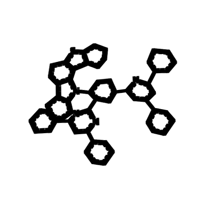 c1ccc(-c2cc(-c3ccccc3)nc(-c3ccc(-n4c5ccccc5c5ccc6sc7ccccc7c6c54)c(-c4nc(-c5ccccc5)cc(-c5ccccc5)n4)c3)c2)cc1